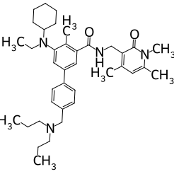 CCCN(CCC)Cc1ccc(-c2cc(C(=O)NCc3c(C)cc(C)n(C)c3=O)c(C)c(N(CC)C3CCCCC3)c2)cc1